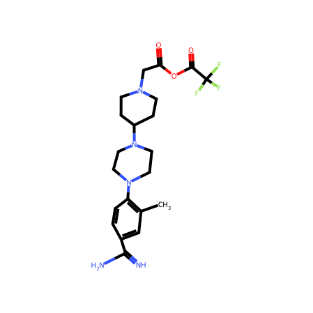 Cc1cc(C(=N)N)ccc1N1CCN(C2CCN(CC(=O)OC(=O)C(F)(F)F)CC2)CC1